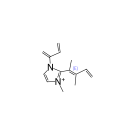 C=CC(=C)n1cc[n+](C)c1/C(C)=C(\C)C=C